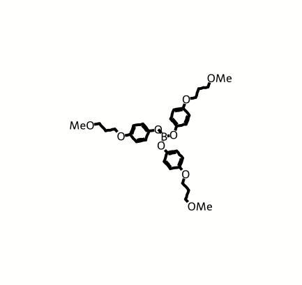 COCCCOc1ccc(OB(Oc2ccc(OCCCOC)cc2)Oc2ccc(OCCCOC)cc2)cc1